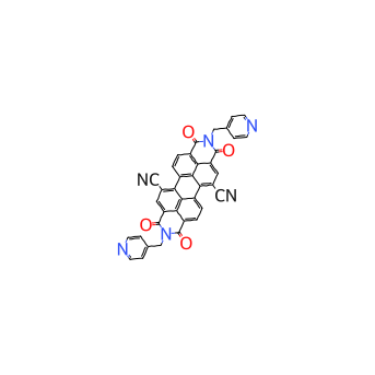 N#Cc1cc2c3c(ccc4c5c(C#N)cc6c7c(ccc(c1c34)c75)C(=O)N(Cc1ccncc1)C6=O)C(=O)N(Cc1ccncc1)C2=O